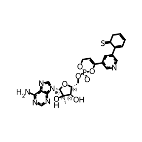 C[C@@]1(O)[C@H](O)[C@@H](COP2(=O)OCC=C(c3cncc(C4=CC=CCC4=S)c3)O2)O[C@H]1n1cnc2c(N)ncnc21